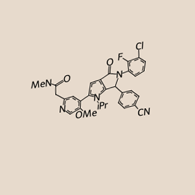 CNC(=O)Cc1cc(-c2cc3c(n2C(C)C)C(c2ccc(C#N)cc2)N(c2cccc(Cl)c2F)C3=O)c(OC)cn1